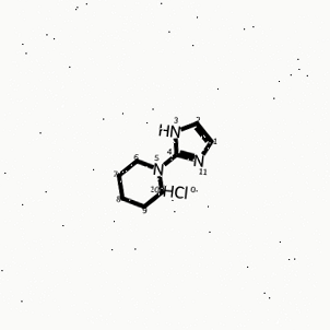 Cl.c1c[nH]c(N2CCCCC2)n1